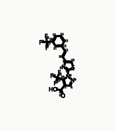 O=C(O)c1cnn(-c2nc(C=Cc3cccc(C(F)(F)F)c3)cs2)c1C(F)(F)F